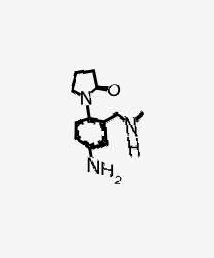 CNCc1cc(N)ccc1N1CCCC1=O